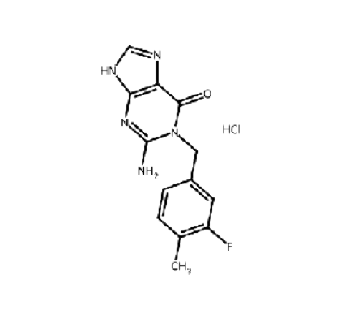 Cc1ccc(Cn2c(N)nc3[nH]cnc3c2=O)cc1F.Cl